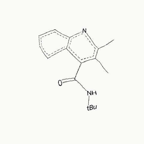 Cc1nc2ccccc2c(C(=O)NC(C)(C)C)c1C